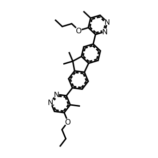 CCCOc1cnnc(-c2ccc3c(c2)C(C)(C)c2cc(-c4nncc(C)c4OCCC)ccc2-3)c1C